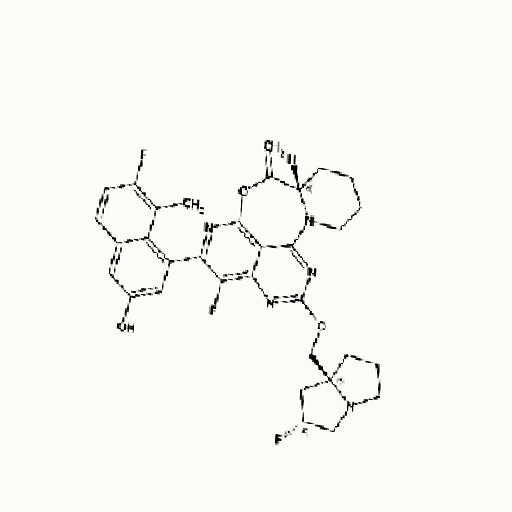 C=C1Oc2nc(-c3cc(O)cc4ccc(F)c(C)c34)c(F)c3nc(OC[C@@]45CCCN4C[C@H](F)C5)nc(c23)N2CCCC[C@@H]12